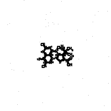 CN(c1nc(Cl)nc2c(F)c(Cl)ncc12)[C@@H]1CCN(C(=O)O)C1C(C)(C)C